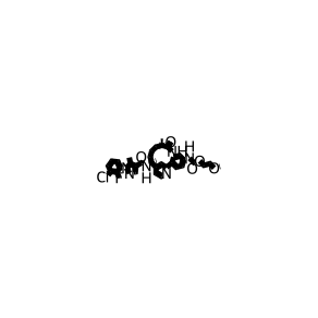 COCCOC(=O)Nc1ccc2c(c1)NC(=O)[C@H](C)CCC[C@H](NC(=O)c1cnn(-c3cccc(Cl)c3F)c1C)c1ccnc-2c1